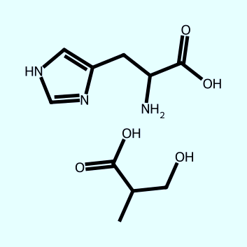 CC(CO)C(=O)O.NC(Cc1c[nH]cn1)C(=O)O